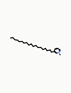 CCCCCCCCCCCCCCCCCCCc1ccc[n+](C)c1